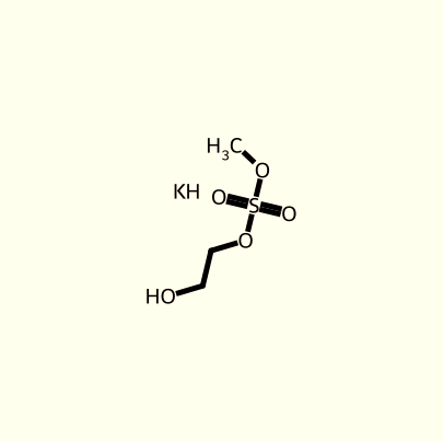 COS(=O)(=O)OCCO.[KH]